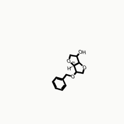 OC1CO[C@@H]2C(OCc3ccccc3)COC12